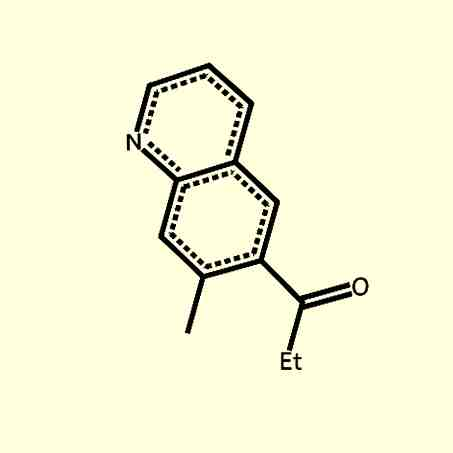 CCC(=O)c1cc2cccnc2cc1C